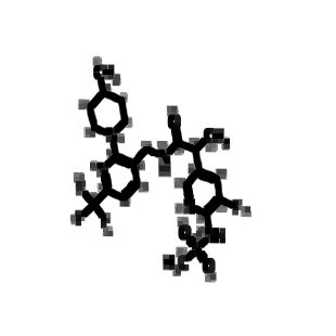 CC1CCN(c2nc(C(F)(F)F)ccc2CNC(=O)C(C)c2cnc(NS(C)(=O)=O)c(F)c2)CC1